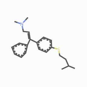 CC(C)CCSc1ccc(C(=CCN(C)C)c2ccccc2)cc1